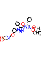 CC(C)(C)OC(=O)N1CCN(C(=O)c2nnn(-c3cccc(OCCN4CCS(=O)(=O)CC4)c3)c2-c2ccccc2)[C@H](Cc2ccccc2)C1